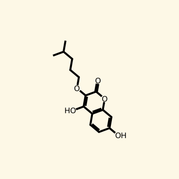 CC(C)CCCOc1c(O)c2ccc(O)cc2oc1=O